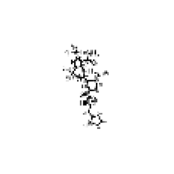 [2H]C([2H])(CC)c1nn(C([2H])([2H])[2H])c(C(N)=O)c1NC(=O)c1cc(S(=O)(=O)NCCC2CCCN2C)ccc1OCCC